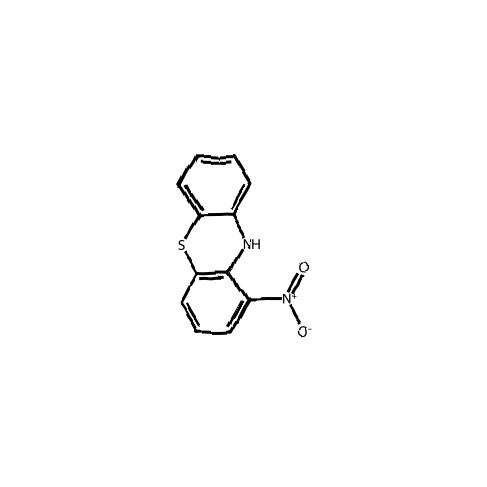 O=[N+]([O-])c1cccc2c1Nc1ccccc1S2